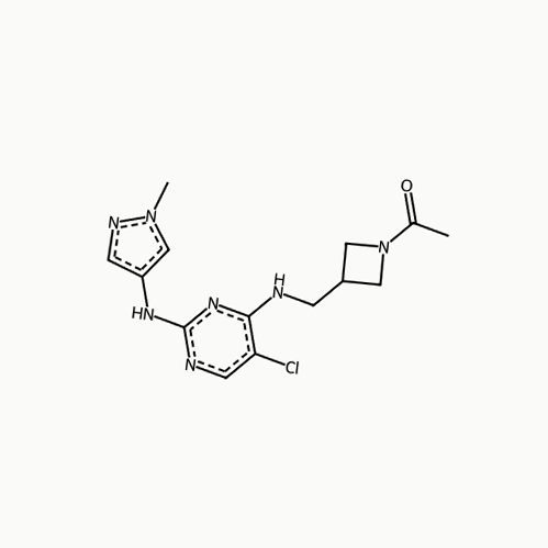 CC(=O)N1CC(CNc2nc(Nc3cnn(C)c3)ncc2Cl)C1